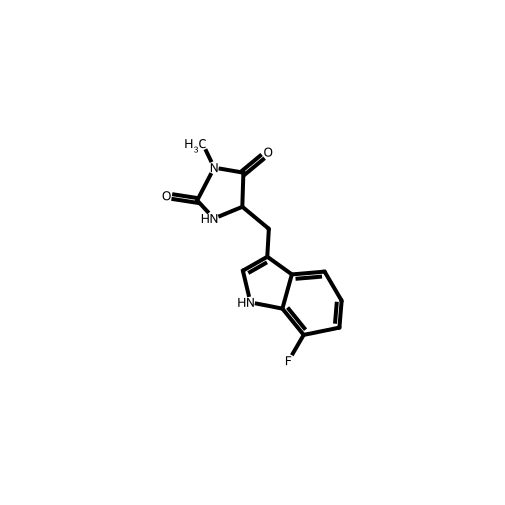 CN1C(=O)NC(Cc2c[nH]c3c(F)cccc23)C1=O